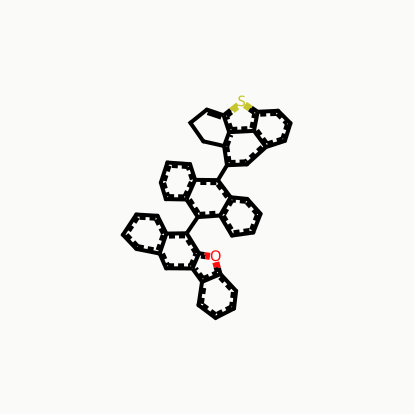 C1=c2sc3cccc4cc(-c5c6ccccc6c(-c6c7ccccc7cc7c6oc6ccccc67)c6ccccc56)c(c2c43)CC1